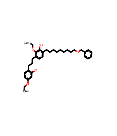 COCOc1ccc(CCCc2ccc(CCCCCCCCCOCc3ccccc3)c(O)c2OCOC)c(O)c1